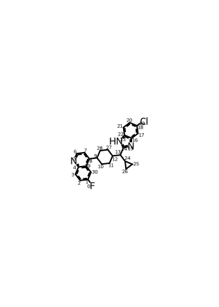 Fc1ccc2nccc(C3CCC(C(c4nc5cc(Cl)ccc5[nH]4)C4CC4)CC3)c2c1